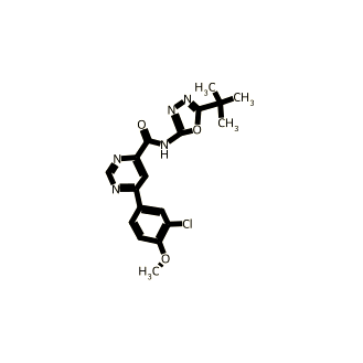 COc1ccc(-c2cc(C(=O)Nc3nnc(C(C)(C)C)o3)ncn2)cc1Cl